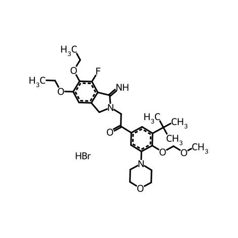 Br.CCOc1cc2c(c(F)c1OCC)C(=N)N(CC(=O)c1cc(N3CCOCC3)c(OCOC)c(C(C)(C)C)c1)C2